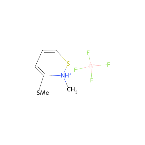 CSC1=CC=CS[NH+]1C.F[B-](F)(F)F